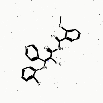 COc1ccccc1C(=N)NC(=O)/C(N)=C(/Nc1ccccc1F)c1ccncc1